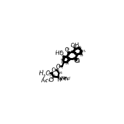 CC(=O)O[C@H]1C(C)O[C@@H](OCc2cc(O)c3c(c2)C(=O)c2cccc(O)c2C3=O)C[C@H]1N=[N+]=[N-]